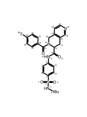 CC(C)(C)NS(=O)(=O)c1ccc(NC(=O)C2Cc3cnccc3CN2C(=O)c2ccc(F)cc2)cc1